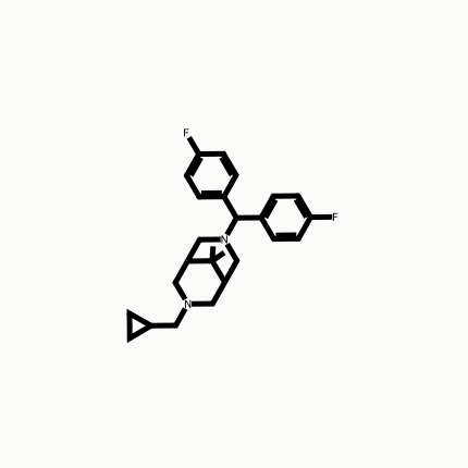 CC1(C)C2CN(CC3CC3)CC1CN(C(c1ccc(F)cc1)c1ccc(F)cc1)C2